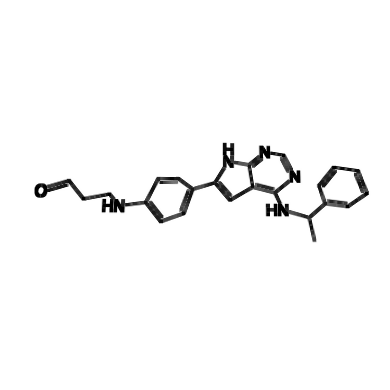 CC(Nc1ncnc2[nH]c(-c3ccc(NCCC=O)cc3)cc12)c1ccccc1